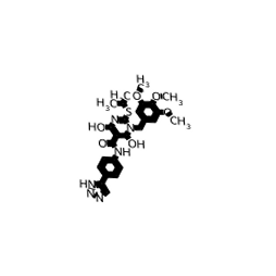 COc1cc(CN2C(SC(C)C)=NC(O)=C(C(=O)Nc3ccc(-c4cnn[nH]4)cc3)C2O)cc(OC)c1OC